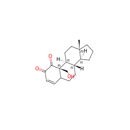 C[C@@]12CCC[C@H]1[C@@H]1CCC3C=CC(=O)C(=O)[C@]3(CO)[C@H]1CC2